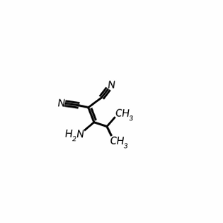 CC(C)C(N)=C(C#N)C#N